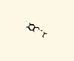 COc1cc(C[Se]NC(CS)C(=O)O)c([N+](=O)[O-])cc1OC